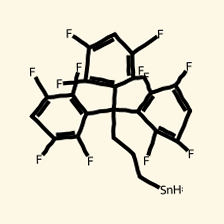 Fc1cc(F)c(F)c(C(CC[CH2][SnH])(c2c(F)c(F)cc(F)c2F)c2c(F)c(F)cc(F)c2F)c1F